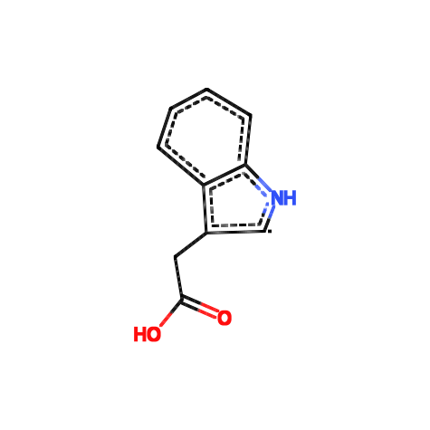 O=C(O)Cc1[c][nH]c2ccccc12